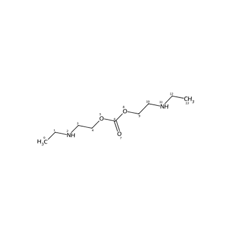 CCNCCOC(=O)OCCNCC